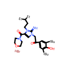 Br.CCC(CC)CCn1c(C(=O)N2CCOCC2)cn(CC(=O)c2cc(C(C)(C)C)c(O)c(C(C)(C)C)c2)c1=N